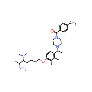 Cc1c(OCCCCC(C(C)N)N(C)C)ccc(C(C)N2CCN(C(=O)c3ccc(C(F)(F)F)cc3)CC2)c1C